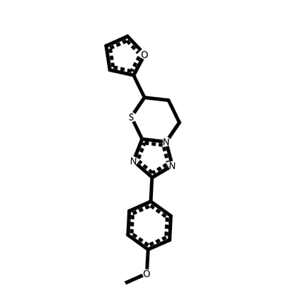 COc1ccc(-c2nc3n(n2)CCC(c2ccco2)S3)cc1